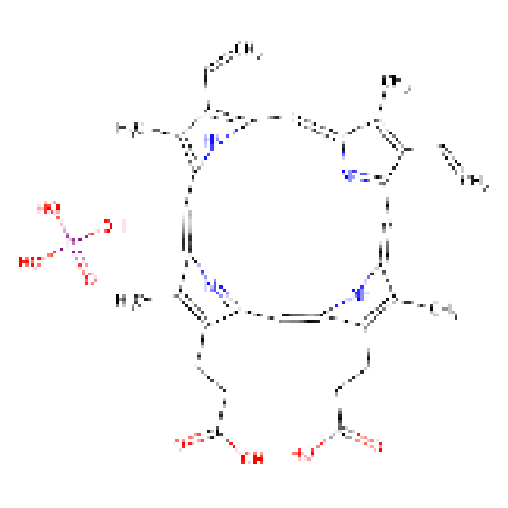 C=CC1=C(C)c2cc3[nH]c(cc4nc(cc5[nH]c(cc1n2)c(C)c5CCC(=O)O)C(CCC(=O)O)=C4C)c(C)c3C=C.O=P(O)(O)O